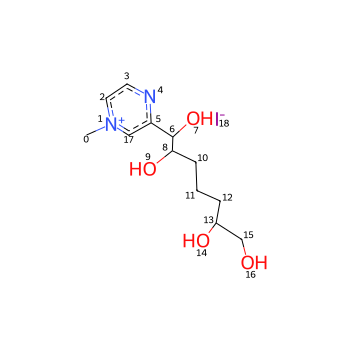 C[n+]1ccnc(C(O)C(O)CCCC(O)CO)c1.[I-]